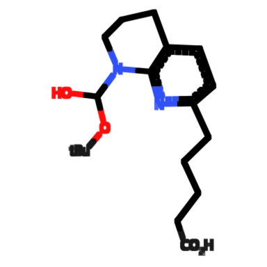 CC(C)(C)OC(O)N1CCCc2ccc(CCCCC(=O)O)nc21